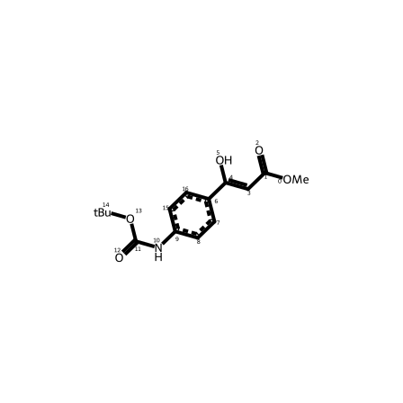 COC(=O)C=C(O)c1ccc(NC(=O)OC(C)(C)C)cc1